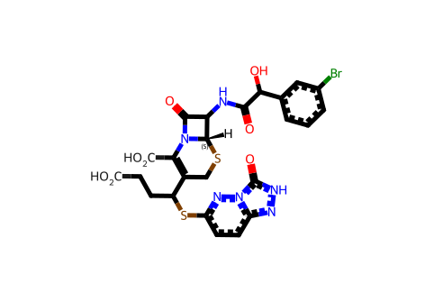 O=C(O)CCC(Sc1ccc2n[nH]c(=O)n2n1)C1=C(C(=O)O)N2C(=O)C(NC(=O)C(O)c3cccc(Br)c3)[C@@H]2SC1